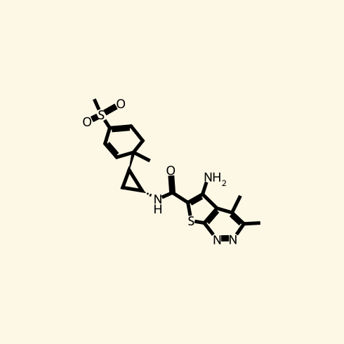 Cc1nnc2sc(C(=O)N[C@@H]3C[C@H]3C3(C)C=CC(S(C)(=O)=O)=CC3)c(N)c2c1C